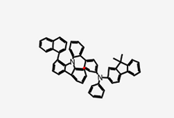 CC1(C)c2ccccc2-c2ccc(N(c3ccccc3)c3ccc(-c4ccccc4-n4c5ccccc5c5cccc(-c6cccc7ccccc67)c54)cc3)cc21